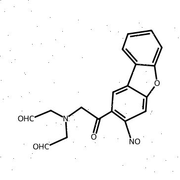 O=CCN(CC=O)CC(=O)c1cc2c(cc1N=O)oc1ccccc12